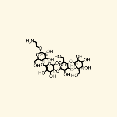 NCCO[C@@H]1OC(CO)[C@@H](OC2=C(O)C(O)[C@H](O[C@H]3OC(CO)[C@H](O[C@H]4OC(CO)[C@@H](O)C(O)C4O)C(O)C3O)C(C(=O)O)O2)C(O)[C@@H]1O